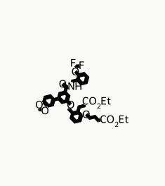 CCOC(=O)CCCOc1cccc(COc2cc(C(=O)NCc3ccccc3OC(F)F)cc(-c3ccc4c(c3)OCO4)c2)c1CCC(=O)OCC